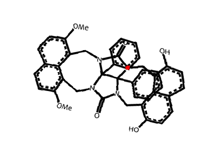 COc1ccc2ccc(OC)c3c2c1CN1C(=O)N2Cc4c(O)ccc5ccc(O)c(c45)CN4C(=O)N(C3)C1(c1ccccc1)C24c1ccccc1